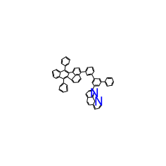 c1ccc(-c2cc(-c3cccc(-c4ccc5c6c(cccc46)-c4c-5c(-c5ccccc5)c5ccccc5c4-c4ccccc4)c3)cc(-c3ccc4ccc5cccnc5c4n3)c2)cc1